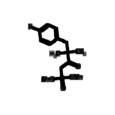 COP(=O)(CC(=O)C(C)(C)Cc1ccc(F)cc1)OC